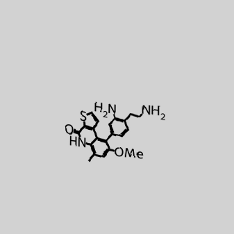 COc1cc(C)c2[nH]c(=O)c3sccc3c2c1-c1ccc(CCN)c(N)c1